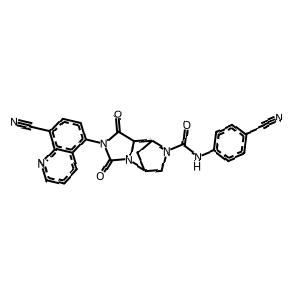 N#Cc1ccc(NC(=O)N2CC3CC2C2C(=O)N(c4ccc(C#N)c5ncccc45)C(=O)N32)cc1